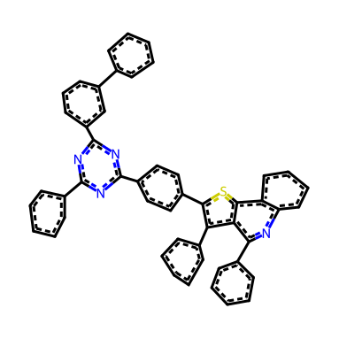 c1ccc(-c2cccc(-c3nc(-c4ccccc4)nc(-c4ccc(-c5sc6c(c(-c7ccccc7)nc7ccccc76)c5-c5ccccc5)cc4)n3)c2)cc1